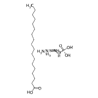 CCCCCCCCCCCCCCCCCC(=O)O.N.N.N.N.O=P(O)(O)O